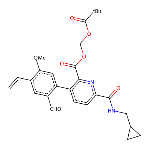 C=Cc1cc(C=O)c(-c2ccc(C(=O)NCC3CC3)nc2C(=O)OCOC(=O)C(C)(C)C)cc1OC